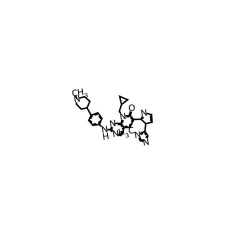 CN1CCC(c2ccc(Nc3ncc4cc(C5=NC=CC5c5cncn5C)c(=O)n(CC5CC5)c4n3)cc2)CC1